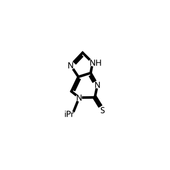 CC(C)n1cc2nc[nH]c2nc1=S